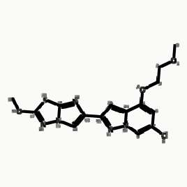 COCCOc1cc(Cl)cn2nc(-c3cn4nc(OC)sc4n3)cc12